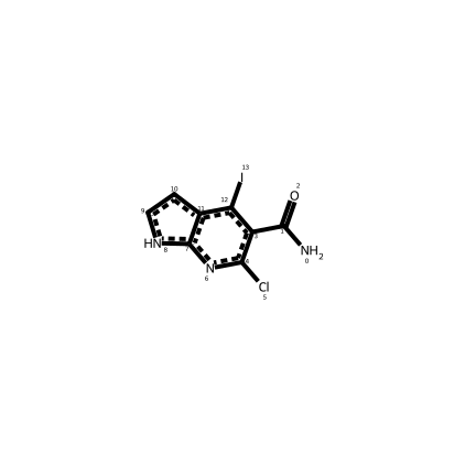 NC(=O)c1c(Cl)nc2[nH]ccc2c1I